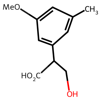 COc1cc(C)cc(C(CO)C(=O)O)c1